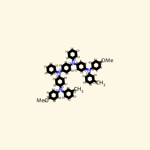 COc1ccc(N(c2ccc(N(c3ccccc3)c3ccc(N(c4ccccc4)c4ccc(N(c5ccc(OC)cc5)c5cccc(C)c5)cc4)cc3)cc2)c2cccc(C)c2)cc1